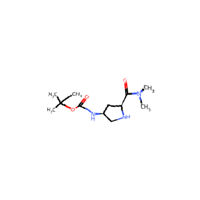 CN(C)C(=O)[C@@H]1C[C@H](NC(=O)OC(C)(C)C)CN1